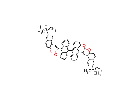 CC(C)(C)c1ccc2c(ccc3oc(=O)c(-c4c5ccccc5c(-c5c6ccccc6c(-c6cc7c(ccc8cc(C(C)(C)C)ccc87)oc6=O)c6ccccc56)c5ccccc45)cc32)c1